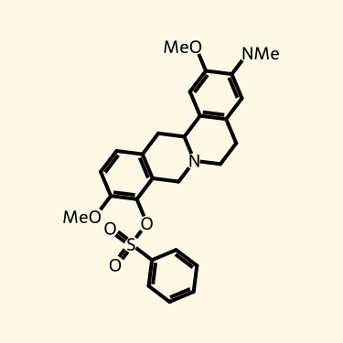 CNc1cc2c(cc1OC)C1Cc3ccc(OC)c(OS(=O)(=O)c4ccccc4)c3CN1CC2